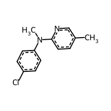 Cc1ccc(N(C)c2ccc(Cl)cc2)nc1